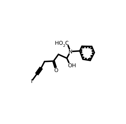 O=C(CC#CI)CC(O)N(C(=O)O)c1ccccc1